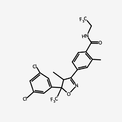 Cc1cc(C2=NOC(c3cc(Cl)cc(Cl)c3)(C(F)(F)F)C2C)ccc1C(=O)NCC(F)(F)F